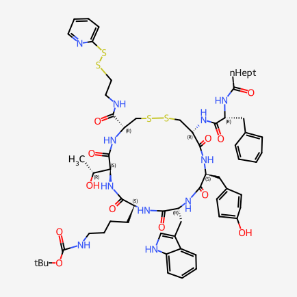 CCCCCCCC(=O)N[C@H](Cc1ccccc1)C(=O)N[C@H]1CSSC[C@@H](C(=O)NCCSSc2ccccn2)NC(=O)[C@H]([C@@H](C)O)NC(=O)[C@H](CCCCNC(=O)OC(C)(C)C)NC(=O)[C@@H](Cc2c[nH]c3ccccc23)NC(=O)[C@H](Cc2ccc(O)cc2)NC1=O